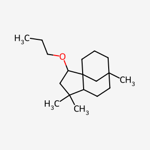 CCCOC1CC(C)(C)C2CCC3(C)CCCC12C3